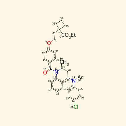 CCOC(=O)C1(CCOc2ccc(C(=O)N3c4ccccc4C(N(C(C)=O)c4ccc(Cl)cc4)CC3C)cc2)CCC1